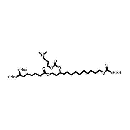 CCCCCCCC(=O)OCCCCCCCCCCC(CCOC(=O)CCCCCC(CCCCCC)CCCCCC)OC(=O)OCCCN(C)C